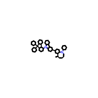 C=C1/C=C\C=C/N(c2ccccc2)c2ccc(-c3ccc4c(c3)c3ccccc3n4-c3cccc4c3-c3ccccc3C4(c3ccccc3)c3ccccc3)cc21